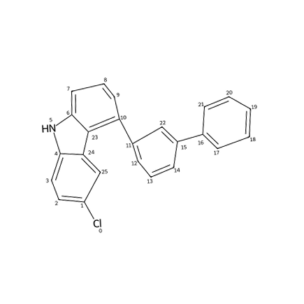 Clc1ccc2[nH]c3cccc(-c4cccc(-c5ccccc5)c4)c3c2c1